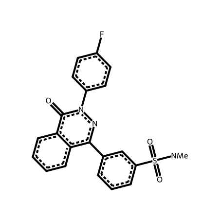 CNS(=O)(=O)c1cccc(-c2nn(-c3ccc(F)cc3)c(=O)c3ccccc23)c1